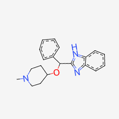 CN1CCC(OC(c2ccccc2)c2nc3ccccc3[nH]2)CC1